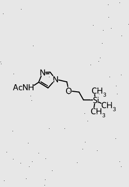 CC(=O)Nc1cn(COCC[Si](C)(C)C)cn1